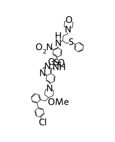 COC1(Cc2ccccc2-c2ccc(Cl)cc2)CCN(c2ccc3c(NS(=O)(=O)c4ccc(NC(CCN5CCOCC5)CSc5ccccc5)c([N+](=O)[O-])c4)ncnc3c2)CC1